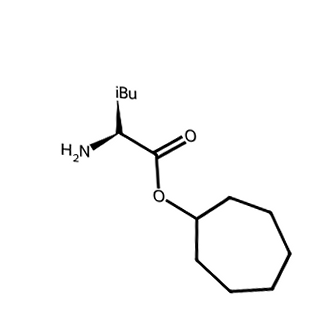 CC[C@H](C)[C@H](N)C(=O)OC1CCCCCC1